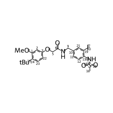 COc1cc(OCC(=O)NCc2ccc(NS(C)(=O)=O)c(F)c2)ccc1C(C)(C)C